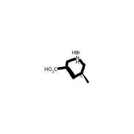 Br.C[C@H]1C=C(C(=O)O)CNC1